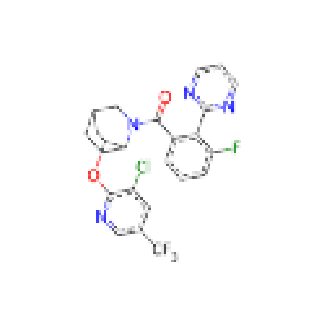 O=C(c1cccc(F)c1-c1ncccn1)N1CC2CCC1C(Oc1ncc(C(F)(F)F)cc1Cl)C2